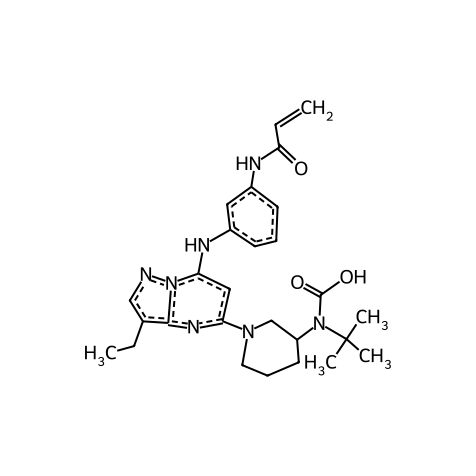 C=CC(=O)Nc1cccc(Nc2cc(N3CCCC(N(C(=O)O)C(C)(C)C)C3)nc3c(CC)cnn23)c1